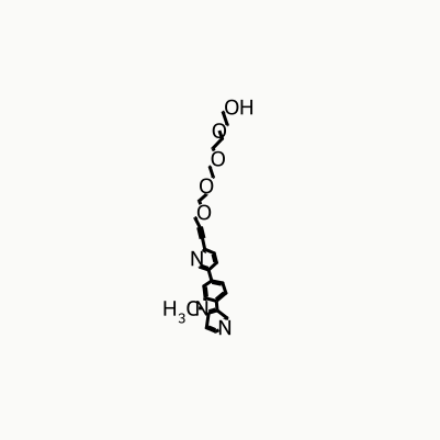 Cn1c2ccncc2c2ccc(-c3ccc(C#CCOCCOCCOCCOCCO)nc3)cc21